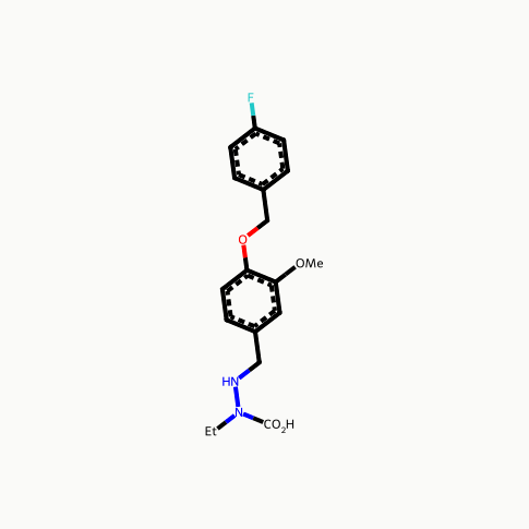 CCN(NCc1ccc(OCc2ccc(F)cc2)c(OC)c1)C(=O)O